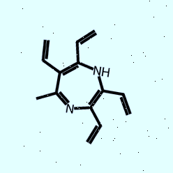 C=CC1=C(C=C)NC(C=C)=C(C=C)C(C)=N1